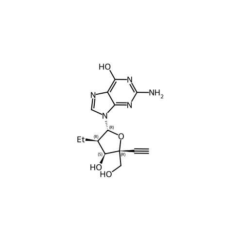 C#C[C@]1(CO)O[C@@H](n2cnc3c(O)nc(N)nc32)[C@H](CC)[C@@H]1O